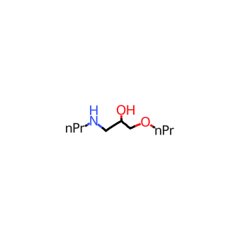 CCCNCC(O)COCCC